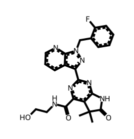 CC1(C)C(=O)Nc2nc(-c3nn(Cc4ccccc4F)c4ncccc34)nc(C(=O)NCCO)c21